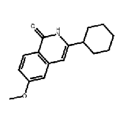 COc1ccc2c(=O)[nH]c(C3CCCCC3)cc2c1